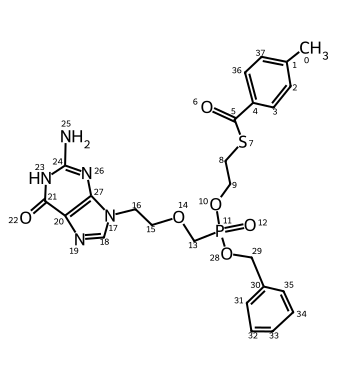 Cc1ccc(C(=O)SCCOP(=O)(COCCn2cnc3c(=O)[nH]c(N)nc32)OCc2ccccc2)cc1